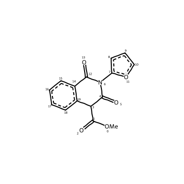 COC(=O)C1C(=O)N(c2ccco2)C(=O)c2ccccc21